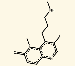 CNCCCc1c(F)cnc2ccc(=O)n(C)c12